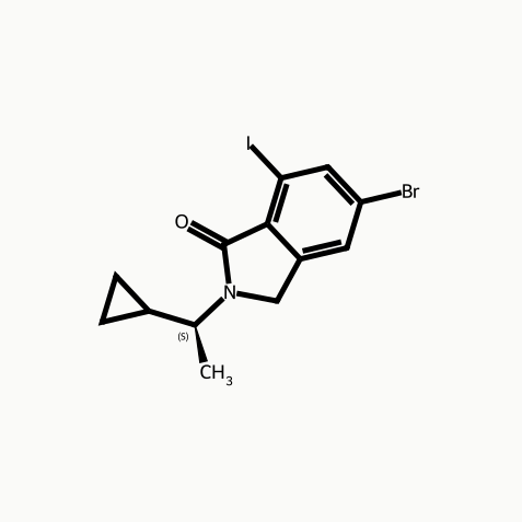 C[C@@H](C1CC1)N1Cc2cc(Br)cc(I)c2C1=O